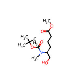 COC(=O)CCC[C@@H](CO)N(C)C(=O)OC(C)(C)C